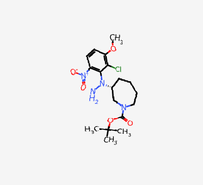 COc1ccc([N+](=O)[O-])c(N(N)[C@@H]2CCCCN(C(=O)OC(C)(C)C)C2)c1Cl